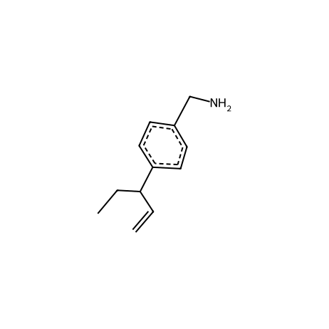 C=CC(CC)c1ccc(CN)cc1